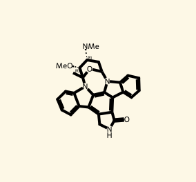 CN[C@@H]1CC2OC(C)([C@@H]1OC)n1c3ccccc3c3c4c(c5c6ccccc6n2c5c31)C(=O)NC4